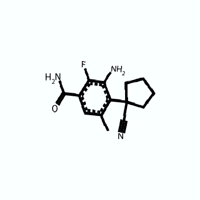 Cc1cc(C(N)=O)c(F)c(N)c1C1(C#N)CCCC1